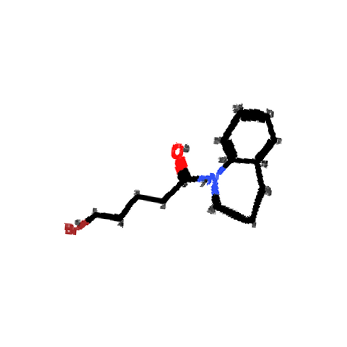 O=C(CCCCBr)N1CCCc2ccccc21